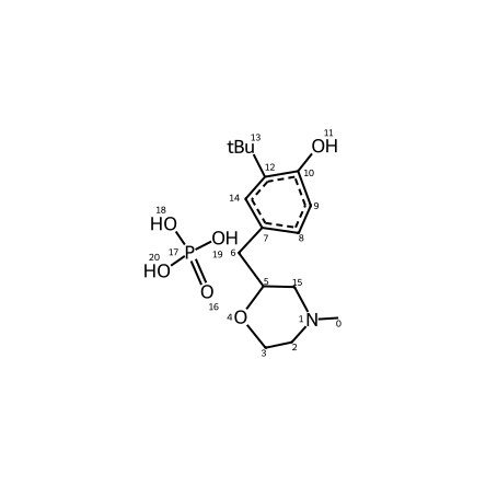 CN1CCOC(Cc2ccc(O)c(C(C)(C)C)c2)C1.O=P(O)(O)O